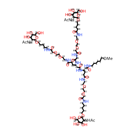 COCCCCCCNC(=O)C[C@H](CCC(=O)NCCOCCOCC(=O)NCCCCCO[C@@H]1OC(CO)[C@@H](O)[C@H](O)C1NC(C)=O)NC(=O)C[C@H](CCC(=O)NCCOCCOCC(=O)NCCCCCO[C@@H]1OC(CO)[C@@H](O)[C@H](O)C1NC(C)=O)NC(=O)CNC(=O)COCCOCCNC(=O)CCCCO[C@@H]1OC(CO)[C@@H](O)[C@H](O)C1NC(C)=O